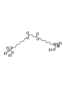 CCOC(OCC)[SiH2]CCCCCCOC(=O)CCC(=O)OCCCCCC[SiH2]C(OCC)OCC